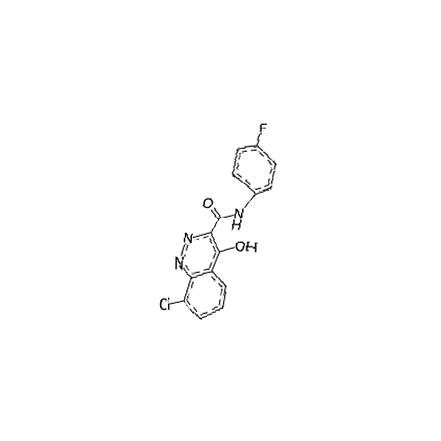 O=C(Nc1ccc(F)cc1)c1nnc2c(Cl)cccc2c1O